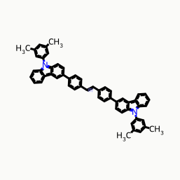 Cc1cc(C)cc(-n2c3ccccc3c3cc(-c4ccc(/C=C/c5ccc(-c6ccc7c(c6)c6ccccc6n7-c6cc(C)cc(C)c6)cc5)cc4)ccc32)c1